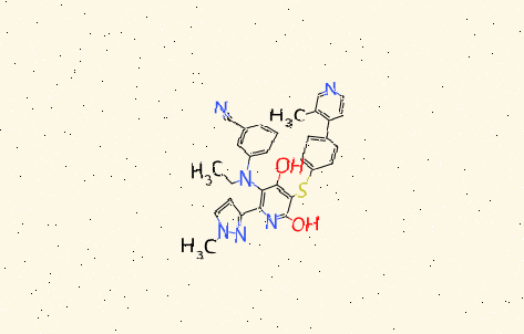 CCN(c1cccc(C#N)c1)c1c(-c2ccn(C)n2)nc(O)c(Sc2ccc(-c3ccncc3C)cc2)c1O